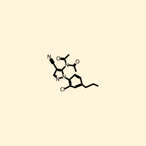 CCCc1ccc(-n2ncc(C#N)c2N(C(C)=O)C(C)=O)c(Cl)c1